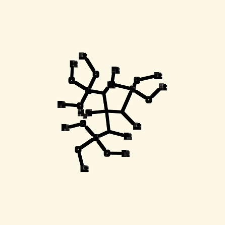 CCO[Si](OCC)(OCC)C(CC)C([SiH3])(C(CC)[Si](OCC)(OCC)OCC)C(CC)[Si](OCC)(OCC)OCC